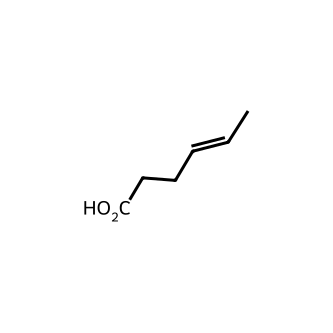 CC=CCCC(=O)O